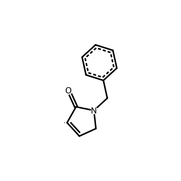 O=C1[C]=CCN1Cc1ccccc1